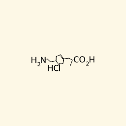 CC(Cc1ccc(CCN)cc1)C(=O)O.Cl